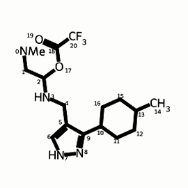 CNCC(NCc1c[nH]nc1C1CCC(C)CC1)OC(=O)C(F)(F)F